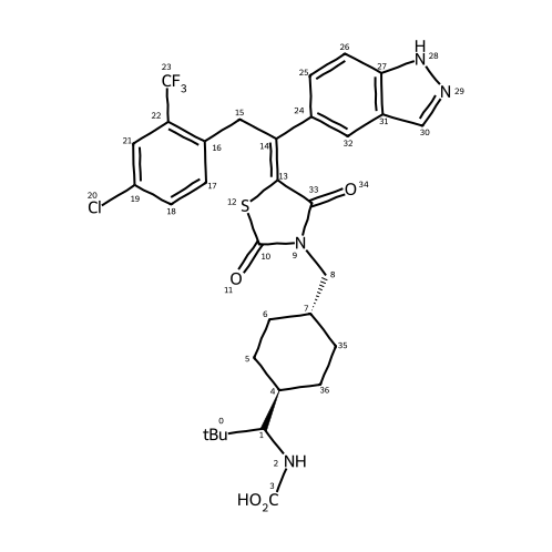 CC(C)(C)C(NC(=O)O)[C@H]1CC[C@H](CN2C(=O)SC(=C(Cc3ccc(Cl)cc3C(F)(F)F)c3ccc4[nH]ncc4c3)C2=O)CC1